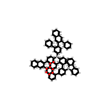 c1ccc(-c2ccc(-n3c4ccccc4c4ccccc43)c(-c3cccc(N(c4ccc(-c5cc6ccccc6cc5-c5ccccc5)c(-c5ccccc5)c4)c4ccc(-c5cc6ccccc6cc5-c5ccccc5)c(-c5ccccc5)c4)c3-c3ccccc3)c2)cc1